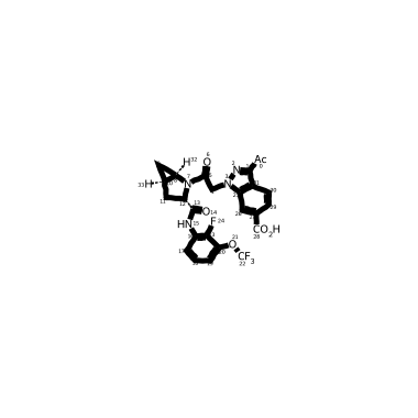 CC(=O)c1nn(CC(=O)N2[C@@H]3C[C@@H]3C[C@H]2C(=O)Nc2cccc(OC(F)(F)F)c2F)c2cc(C(=O)O)ccc12